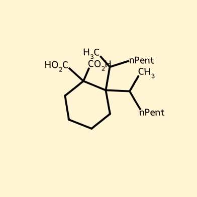 CCCCCC(C)C1(C(C)CCCCC)CCCCC1(C(=O)O)C(=O)O